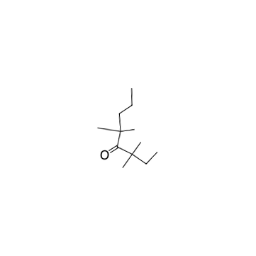 CCCC(C)(C)C(=O)C(C)(C)CC